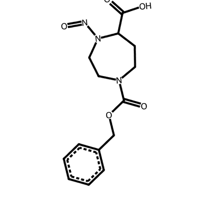 O=NN1CCN(C(=O)OCc2ccccc2)CCC1C(=O)O